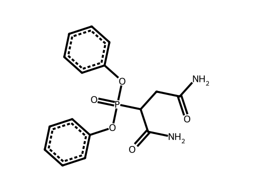 NC(=O)CC(C(N)=O)P(=O)(Oc1ccccc1)Oc1ccccc1